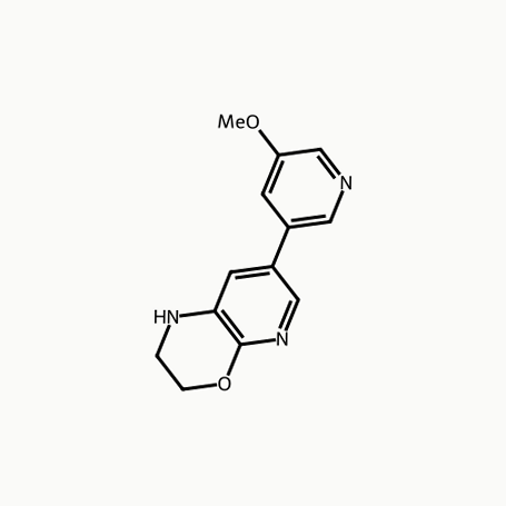 COc1cncc(-c2cnc3c(c2)NCCO3)c1